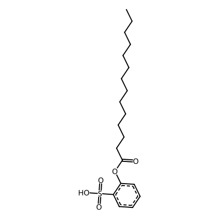 CCCCCCCCCCCCCC(=O)Oc1ccccc1S(=O)(=O)O